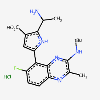 Cc1nc2ccc(F)c(-c3cc(C(=O)O)c(C(C)N)[nH]3)c2nc1NC(C)(C)C.Cl